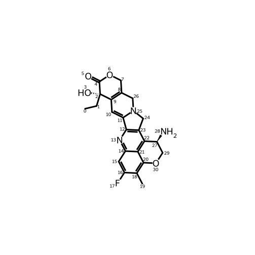 CC[C@@]1(O)C(=O)OCC2=C1C=C1c3nc4cc(F)c(C)c5c4c(c3CN1C2)[C@@H](N)CO5